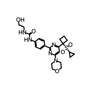 O=C(NCCO)Nc1ccc(-c2nc(N3CCOCC3)cc(C3(S(=O)(=O)C4CC4)CCC3)n2)cc1